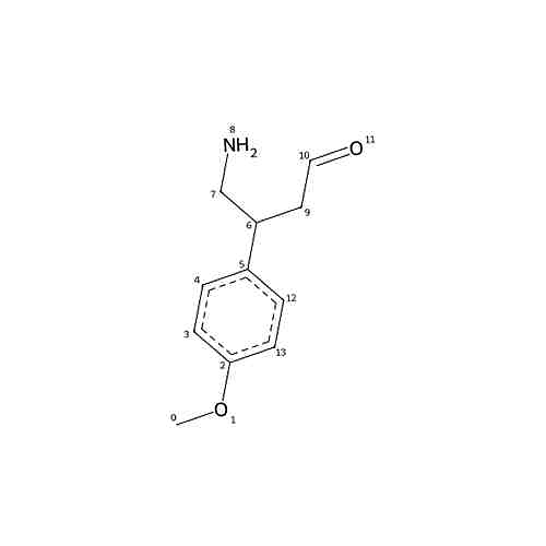 COc1ccc(C(CN)CC=O)cc1